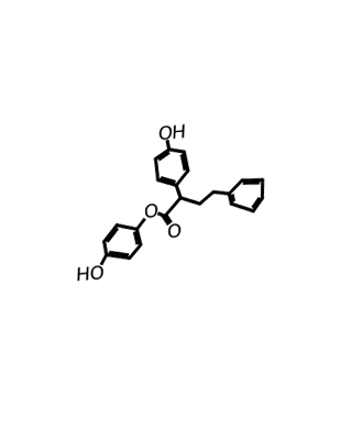 O=C(Oc1ccc(O)cc1)C(CCc1ccccc1)c1ccc(O)cc1